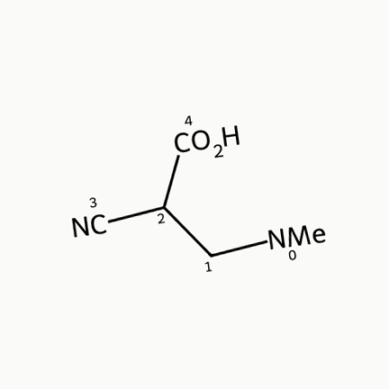 CNCC(C#N)C(=O)O